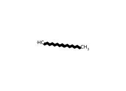 [CH]=CCCCCCC/C=C/CCCCCCC